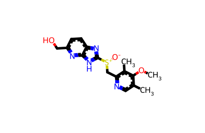 COc1c(C)cnc(C[S+]([O-])c2nc3ccc(CO)nc3[nH]2)c1C